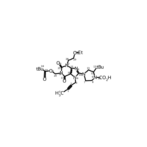 CC#CCn1c(N2CCN(C(=O)O)C(C(C)(C)C)C2)nc2c1c(=O)n(COC(=O)C(C)(C)C)c(=O)n2CCOCC